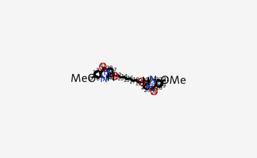 COc1ccc2c(c1)N=C[C@@H]1C(OCCCCCCCCOC3CCN4C(=O)c5ccc(OC)cc5N=C[C@H]34)CCN1C2=O